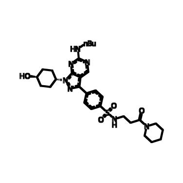 CCCCNc1ncc2c(-c3ccc(S(=O)(=O)NCCC(=O)N4CCCCC4)cc3)nn([C@H]3CC[C@H](O)CC3)c2n1